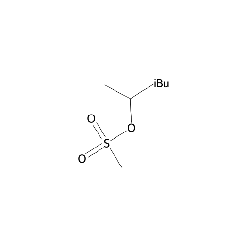 CCC(C)C(C)OS(C)(=O)=O